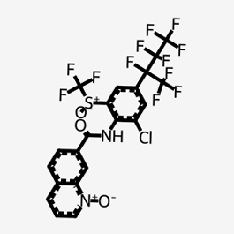 O=C(Nc1c(Cl)cc(C(F)(C(F)(F)F)C(F)(F)C(F)(F)F)cc1[S+]([O-])C(F)(F)F)c1ccc2ccc[n+]([O-])c2c1